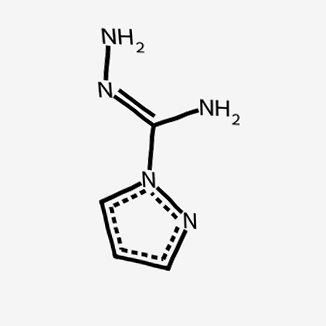 NN=C(N)n1cccn1